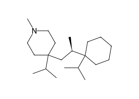 CC(C)C1(C[C@@H](C)C2(C(C)C)CCCCC2)CCN(C)CC1